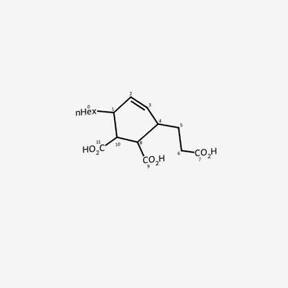 CCCCCCC1C=CC(CCC(=O)O)C(C(=O)O)C1C(=O)O